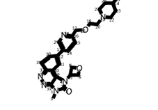 Cn1c(=O)n(C2COC2)c2c3cc(-c4ccc(COCCN5CCC(F)CC5)nc4)ccc3nnc21